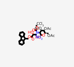 CC(=O)OC[C@H]1O[C@H](O)[C@@H](N(C(=O)OCC(Cl)(Cl)Cl)C(N)C(O)C(=O)OCC2c3ccccc3-c3ccccc32)[C@@H](OC(C)=O)[C@H]1OC(C)=O